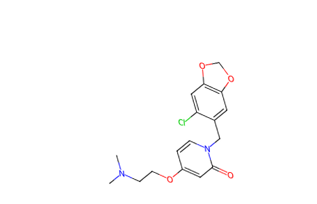 CN(C)CCOc1ccn(Cc2cc3c(cc2Cl)OCO3)c(=O)c1